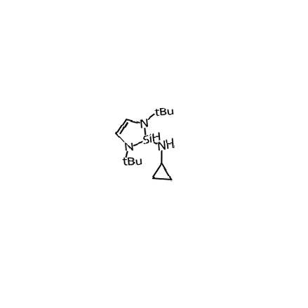 CC(C)(C)N1C=CN(C(C)(C)C)[SiH]1NC1CC1